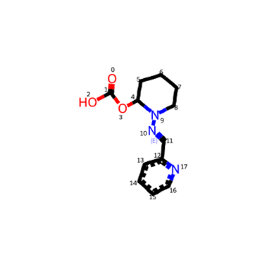 O=C(O)OC1CCCCN1/N=C/c1ccccn1